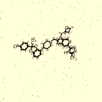 CC1(c2ccc(Cl)cc2)Oc2cccc(C3CCN(Cc4nc5cc(-c6nnc(C(F)(F)F)[nH]6)ncc5n4C[C@@H]4CCO4)CC3)c2O1